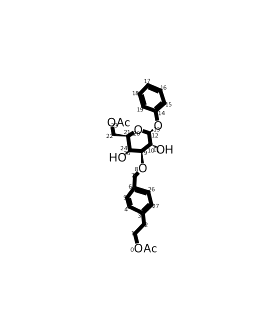 CC(=O)OCCc1ccc(CO[C@@H]2[C@@H](O)[C@@H](Oc3ccccc3)O[C@H](COC(C)=O)[C@H]2O)cc1